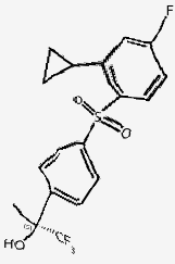 C[C@](O)(c1ccc(S(=O)(=O)c2ccc(F)cc2C2CC2)cc1)C(F)(F)F